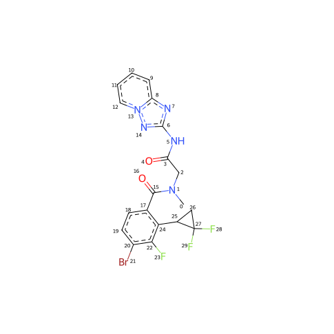 CN(CC(=O)Nc1nc2ccccn2n1)C(=O)c1ccc(Br)c(F)c1C1CC1(F)F